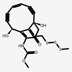 COC(=O)NC1=C2/C(=C/CSSSC)[C@](O)(C#C/C=C\C#C[C@@H]2O)CC1=O